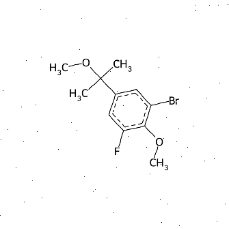 COc1c(F)cc(C(C)(C)OC)cc1Br